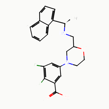 C[C@@H](NCC1CN(c2cc(F)c(F)c(C(=O)O)c2)CCO1)c1cccc2ccccc12